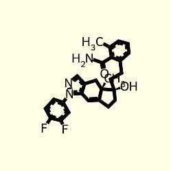 Cc1cccc(CC[C@]2(O)CCC3=Cc4c(cnn4-c4ccc(F)c(F)c4)C[C@@]32C)c1C(N)=O